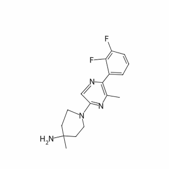 Cc1nc(N2CCC(C)(N)CC2)cnc1-c1cccc(F)c1F